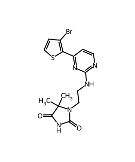 CC1(C)C(=O)NC(=O)N1CCNc1nccc(-c2sccc2Br)n1